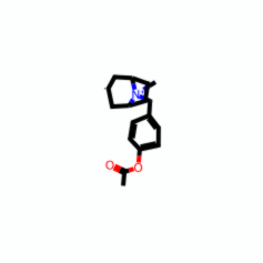 CC(=O)Oc1ccc(C[N+]2(C)C3C[CH]CC2CC3)cc1